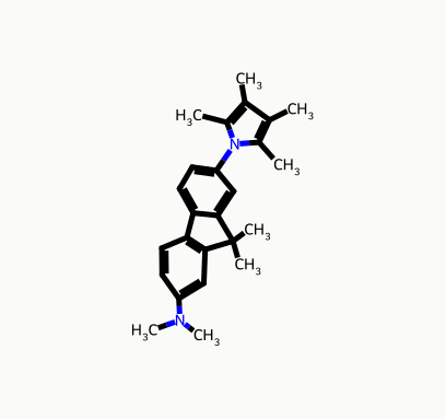 Cc1c(C)c(C)n(-c2ccc3c(c2)C(C)(C)c2cc(N(C)C)ccc2-3)c1C